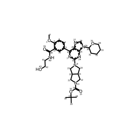 COc1ccc(-c2nc(N3CC4CN(C(=O)OC(C)(C)C)CC4C3)nc3c2ncn3C2CCCCO2)cc1C(=O)NCCO